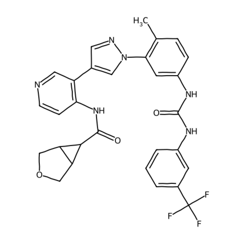 Cc1ccc(NC(=O)Nc2cccc(C(F)(F)F)c2)cc1-n1cc(-c2cnccc2NC(=O)C2C3COCC32)cn1